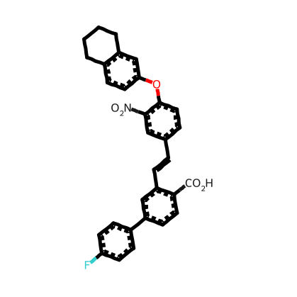 O=C(O)c1ccc(-c2ccc(F)cc2)cc1C=Cc1ccc(Oc2ccc3c(c2)CCCC3)c([N+](=O)[O-])c1